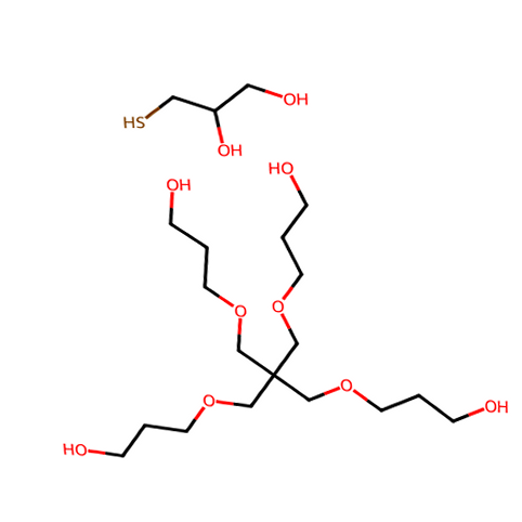 OCC(O)CS.OCCCOCC(COCCCO)(COCCCO)COCCCO